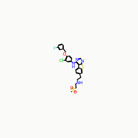 CS(=O)(=O)CCNCCc1ccc2c(c1)sc1ncnc(Nc3ccc(OCc4cccc(F)c4)c(Cl)c3)c12